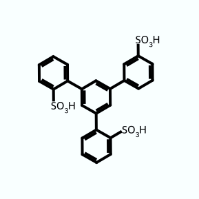 O=S(=O)(O)c1cccc(-c2cc(-c3ccccc3S(=O)(=O)O)cc(-c3ccccc3S(=O)(=O)O)c2)c1